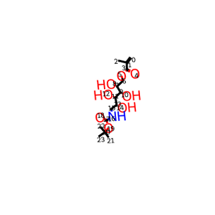 C=C(C)C(=O)OC[C@@H](O)[C@@H](O)[C@H](O)[C@@H](O)CNC(=O)OC(C)(C)C